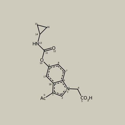 CC(=O)c1cn(CC(=O)O)c2ccc(OC(=O)NC3CC3)cc12